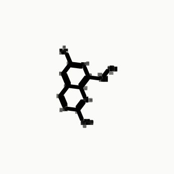 CSc1ncc2cc(C#N)nc(NC(C)(C)C)c2n1